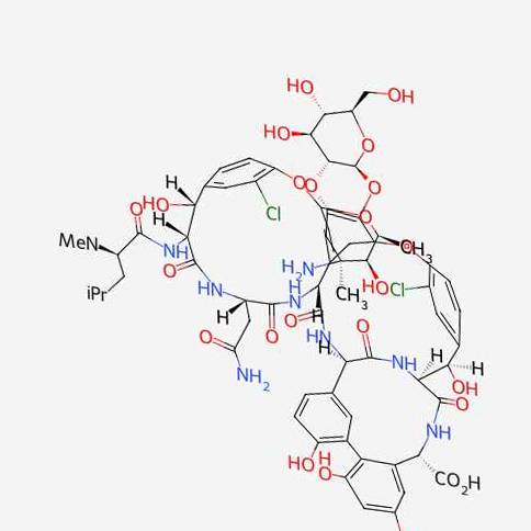 CN[C@H](CC(C)C)C(=O)N[C@H]1C(=O)N[C@@H](CC(N)=O)C(=O)N[C@H]2C(=O)N[C@H]3C(=O)N[C@H](C(=O)N[C@H](C(=O)O)c4cc(O)cc(O)c4-c4cc3ccc4O)[C@H](O)c3ccc(c(Cl)c3)OC3CC2=CC(=C3O[C@@H]2O[C@H](CO)[C@@H](O)[C@H](O)[C@H]2O[C@H]2C[C@](C)(N)[C@H](O)[C@H](C)O2)Oc2ccc(cc2Cl)[C@H]1O